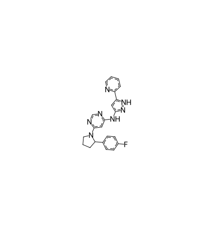 Fc1ccc(C2CCCN2c2cc(Nc3cc(-c4ccccn4)[nH]n3)ncn2)cc1